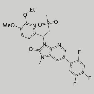 CCOc1nc(C(CS(C)(=O)=O)n2c(=O)n(C)c3cc(-c4cc(F)c(F)cc4F)cnc32)ccc1OC